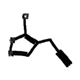 C#CCC1=C(Cl)[N]N=C1